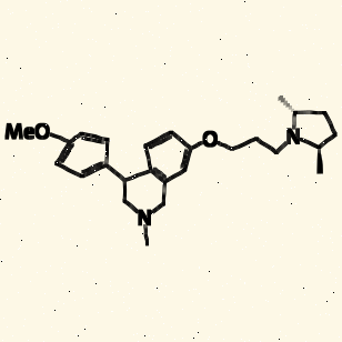 COc1ccc(C2CN(C)Cc3cc(OCCCN4[C@H](C)CC[C@H]4C)ccc32)cc1